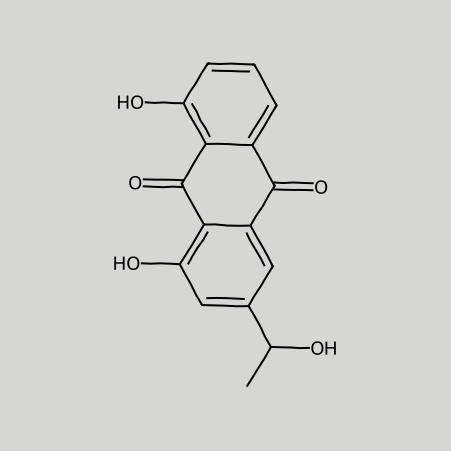 CC(O)c1cc(O)c2c(c1)C(=O)c1cccc(O)c1C2=O